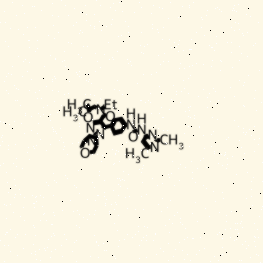 CCN1CC(C)(C)Oc2nc(N3C4CCC3COC4)nc(-c3ccc(NC(=O)Nc4cc(C)nc(C)n4)cc3)c2C1=O